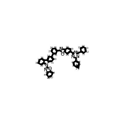 C1=CC2C[C@H]2C=C1c1nc(-c2ccccc2)nc(-c2ccc3nc(-c4cccc(-c5ccc6c(c5)c5ccccc5n6-c5nc6ccccc6o5)c4)oc3c2)n1